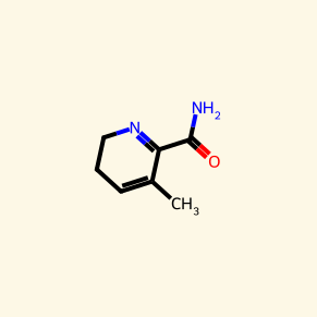 CC1=CCCN=C1C(N)=O